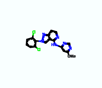 COc1cc(Nc2nccc3nn(-c4c(Cl)cccc4Cl)cc23)ncn1